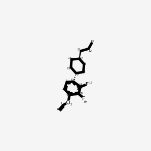 C=COc1ccc([C@H]2CC[C@H](CCC)CC2)c(F)c1F